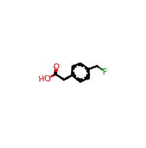 O=C(O)Cc1ccc(CF)cc1